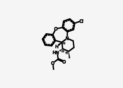 COC(=O)N[C@H]1[C@@H](C)CCN2c3cc(Cl)ccc3Oc3ccccc3[C@@H]12